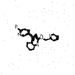 Fc1ccc(-c2cc(OCc3ccccn3)nc3c2CCCC3)cn1